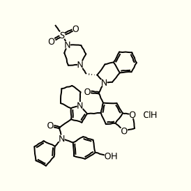 CS(=O)(=O)N1CCN(C[C@@H]2Cc3ccccc3CN2C(=O)c2cc3c(cc2-c2cc(C(=O)N(c4ccccc4)c4ccc(O)cc4)c4n2CCCC4)OCO3)CC1.Cl